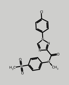 CN(C(=O)c1ncn(-c2ccc(Cl)cc2)n1)c1ccc(S(C)(=O)=O)cc1